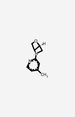 Cc1ccnc(N2C[C@@H]3OCC32)c1